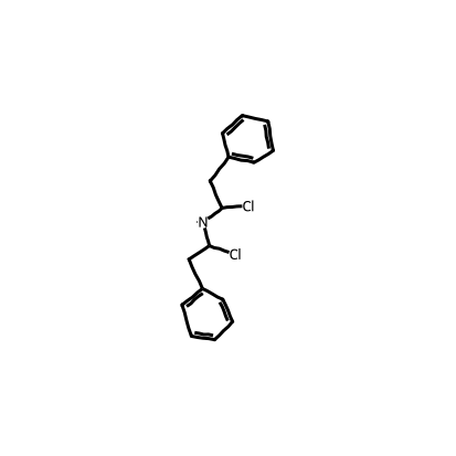 ClC(Cc1ccccc1)[N]C(Cl)Cc1ccccc1